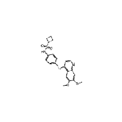 COc1cc2nccc(Oc3ccc(NS(=O)(=O)C4CCC4)cc3)c2cc1OC